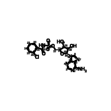 Nc1ncnc2c1ncn2[C@@H]1O[C@H](COS(=O)(=O)NC(=O)c2ccccc2Cl)[C@@H](O)[C@H]1O